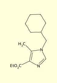 CCOC(=O)c1ncn(CC2CCCCC2)c1C